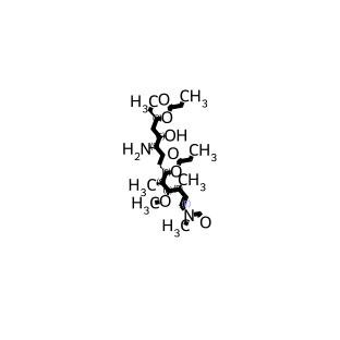 CCC(=O)O[C@H](CC)C[C@H](O)[C@@H](N)CC[C@H](OC(=O)CC)[C@H](C)[C@H](OC)[C@H](C)/C=C/N(C)C=O